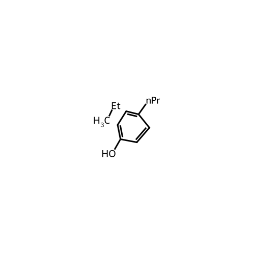 CCC.CCCc1ccc(O)cc1